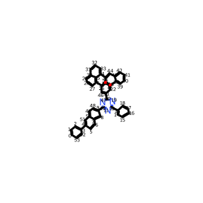 c1ccc(-c2ccc3cc(-c4nc(-c5ccccc5)nc(-c5cccc(-c6cccc7cccc(-c8ccc9ccccc9c8)c67)c5)n4)ccc3c2)cc1